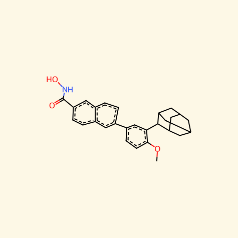 COc1ccc(-c2ccc3cc(C(=O)NO)ccc3c2)cc1C1C2CC3CC(C2)CC1C3